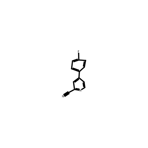 N#Cc1cc(-c2ccc(F)cc2)ccn1